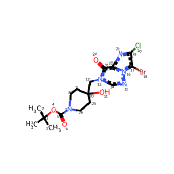 CC(C)(C)OC(=O)N1CCC(O)(Cn2cnn3c(Br)c(Cl)nc3c2=O)CC1